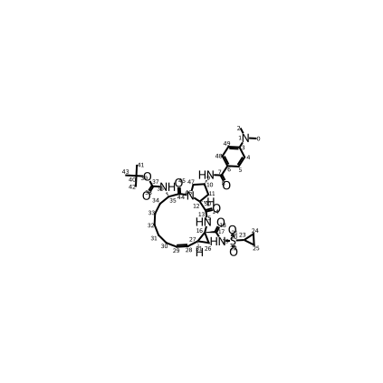 CN(C)c1ccc(C(=O)N[C@@H]2C[C@H]3C(=O)N[C@]4(C(=O)NS(=O)(=O)C5CC5)C[C@H]4/C=C\CCCCC[C@H](NC(=O)OC(C)(C)C)C(=O)N3C2)cc1